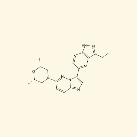 CCc1n[nH]c2ccc(-c3cnc4ccc(N5C[C@@H](C)O[C@@H](C)C5)nn34)cc12